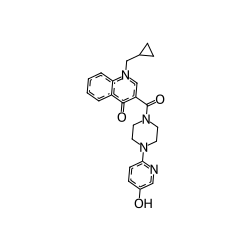 O=C(c1cn(CC2CC2)c2ccccc2c1=O)N1CCN(c2ccc(O)cn2)CC1